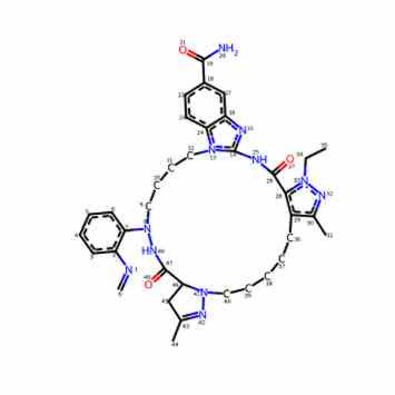 C=Nc1ccccc1N1CCCCn2c(nc3cc(C(N)=O)ccc32)NC(=O)c2c(c(C)nn2CC)CCCCCN2N=C(C)CC2C(=O)N1